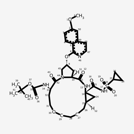 COc1ccc2c(O[C@@H]3C[C@H]4C(=O)N[C@]5(C(=O)NS(=O)(=O)C6CC6)C[C@H]5CCCCOCC[C@H](NC(=O)OC(C)(C)C)C(=O)N4C3)nccc2c1